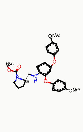 COc1ccc(Oc2ccc(NC[C@@H]3CCCN3C(=O)OC(C)(C)C)c(Oc3ccc(OC)cc3)c2)cc1